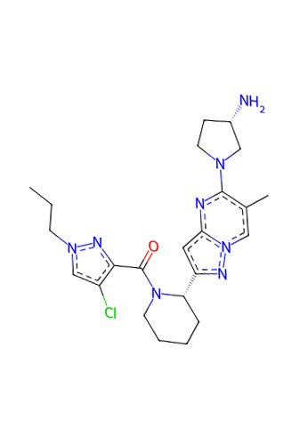 CCCn1cc(Cl)c(C(=O)N2CCCC[C@H]2c2cc3nc(N4CC[C@H](N)C4)c(C)cn3n2)n1